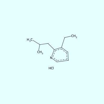 CCc1cccnc1CC(C)C.Cl